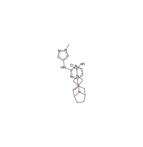 CCC[S+]([O-])N1CC(N2C3C=C(c4ccnc(Nc5cnn(C)c5)n4)CC2CC3)C1